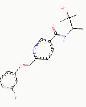 CC(NC(=O)c1ccc(COc2cccc(F)c2)nc1)C(C)(C)O